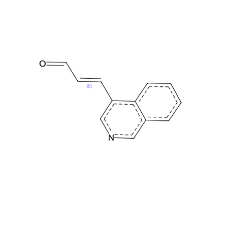 O=C/C=C/c1cncc2ccccc12